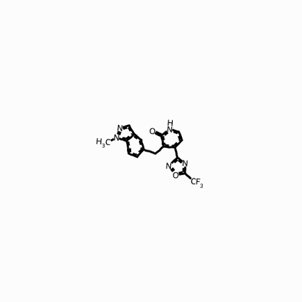 Cn1ncc2cc(Cc3c(-c4noc(C(F)(F)F)n4)cc[nH]c3=O)ccc21